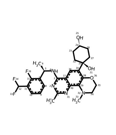 Cc1nc(N[C@H](C)c2cccc(C(F)F)c2F)c2cc([C@]3(O)CC[C@H](O)CC3)c3c(c2n1)N(C)CCO3